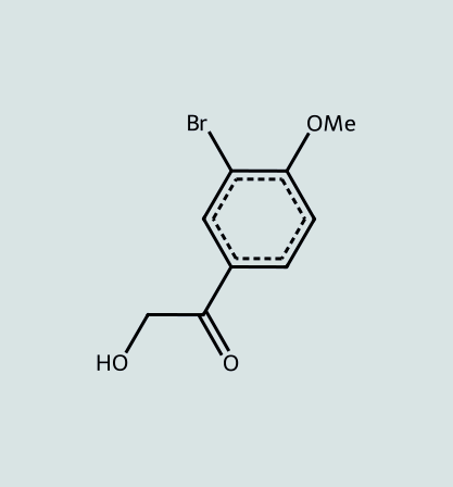 COc1ccc(C(=O)CO)cc1Br